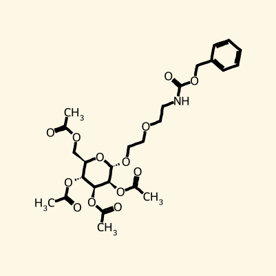 CC(=O)OC[C@H]1O[C@H](OCCOCCNC(=O)OCc2ccccc2)[C@@H](OC(C)=O)[C@@H](OC(C)=O)[C@@H]1OC(C)=O